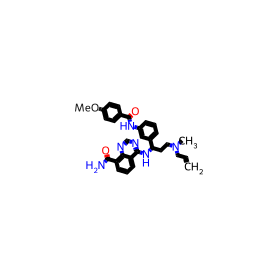 C=CCN(C)CCC(Nc1ncnc2c(C(N)=O)cccc12)c1cccc(NC(=O)c2ccc(OC)cc2)c1